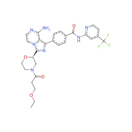 CCOCCC(=O)N1CCO[C@@H](c2nc(-c3ccc(C(=O)Nc4cc(C(F)(F)F)ccn4)cc3)c3c(N)nccn23)C1